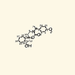 COc1ccc([C@H](C)N2CC[C@](CCO)(c3ccccc3)OC2=O)cc1